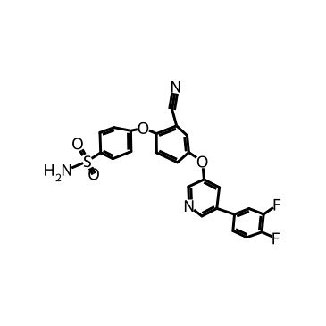 N#Cc1cc(Oc2cncc(-c3ccc(F)c(F)c3)c2)ccc1Oc1ccc(S(N)(=O)=O)cc1